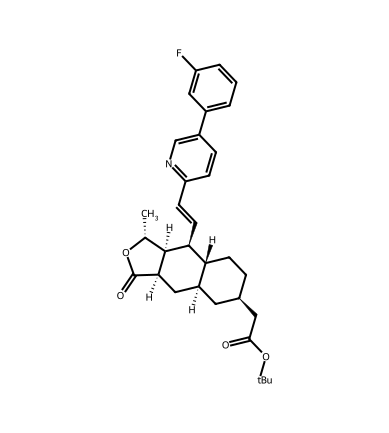 C[C@H]1OC(=O)[C@@H]2C[C@@H]3C[C@H](CC(=O)OC(C)(C)C)CC[C@H]3[C@H](/C=C/c3ccc(-c4cccc(F)c4)cn3)[C@H]12